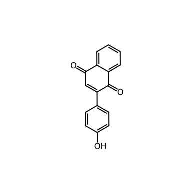 O=C1C=C(c2ccc(O)cc2)C(=O)c2ccccc21